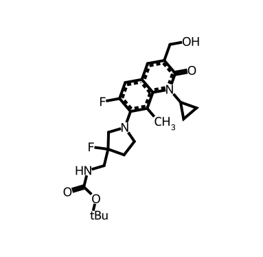 Cc1c(N2CCC(F)(CNC(=O)OC(C)(C)C)C2)c(F)cc2cc(CO)c(=O)n(C3CC3)c12